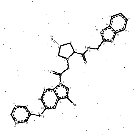 CC(=O)c1cn(C(=O)CN2C[C@H](F)C[C@H]2C(=O)NCc2nc3ccccc3s2)c2ccc(Nc3cncnc3)cc12